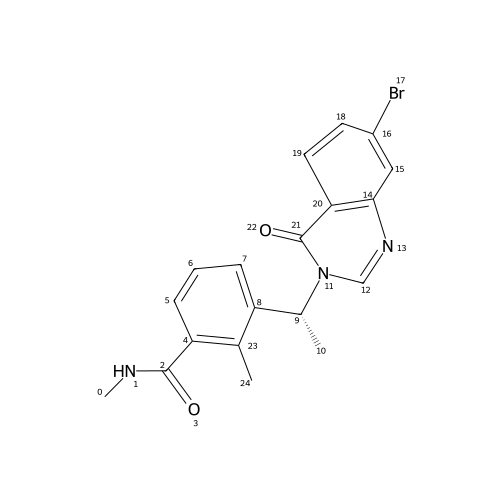 CNC(=O)c1cccc([C@@H](C)n2cnc3cc(Br)ccc3c2=O)c1C